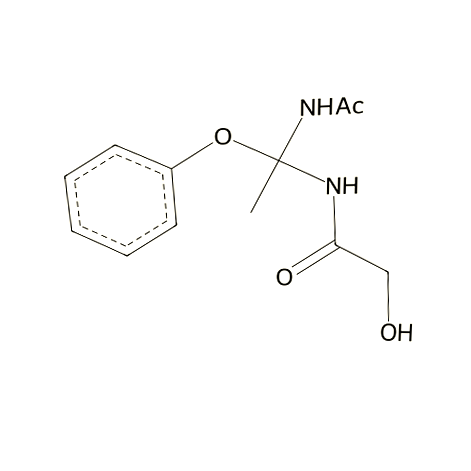 CC(=O)NC(C)(NC(=O)CO)Oc1ccccc1